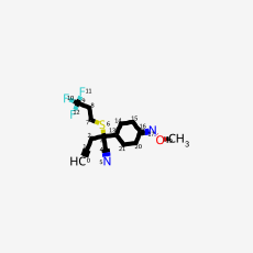 C#CCC(C#N)(SCCC(F)(F)F)C1CCC(=NOC)CC1